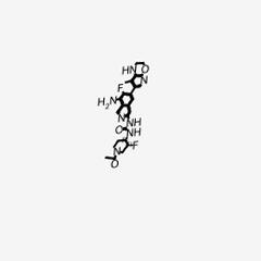 CC(=O)N1CC[C@@H](NC(=O)Nc2cc3cc(-c4cnc5c(c4C)NCCO5)c(F)c(N)c3cn2)[C@@H](F)C1